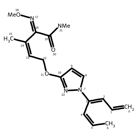 C=C/C=C(\C=C/C)n1ccc(OC/C=C(C)\C(=N/OC)C(=O)NC)n1